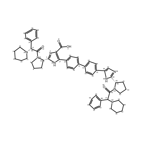 O=C(O)c1nc([C@@H]2CCCN2C(=O)[C@@H](c2ccccc2)N2CCCCC2)[nH]c1-c1ccc(-c2ccc(-c3cnc([C@@H]4CCCN4C(=O)C(c4ccccc4)N4CCCCC4)[nH]3)cc2)cc1